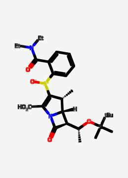 CCN(CC)C(=O)c1ccccc1[S+]([O-])C1=C(C(=O)O)N2C(=O)[C@H]([C@@H](C)O[Si](C)(C)C(C)(C)C)[C@H]2[C@H]1C